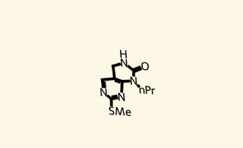 CCCN1C(=O)NCc2cnc(SC)nc21